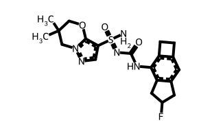 CC1(C)COc2c(S(N)(=O)=NC(=O)Nc3c4c(cc5c3CC(F)C5)CC4)cnn2C1